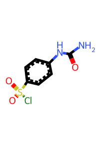 NC(=O)Nc1ccc(S(=O)(=O)Cl)cc1